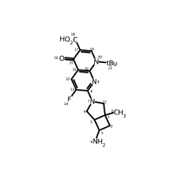 CC12CC(N)C1CN(c1nc3c(cc1F)c(=O)c(C(=O)O)cn3C(C)(C)C)C2